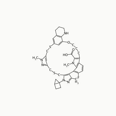 Cc1nn(C23CCC2C3)c2c1-c1c(F)ccc3c(c(C(=O)O)n(C)c13)CCCOc1cc(cc3c1NCCC3)SCc1cc(nn1C)CSC2